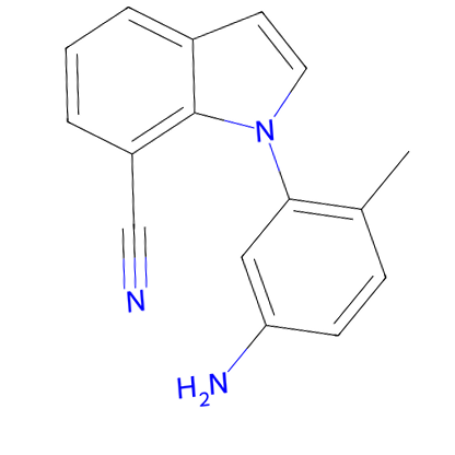 Cc1ccc(N)cc1-n1ccc2cccc(C#N)c21